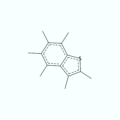 Cc1sc2c(C)c(C)c(C)c(C)c2c1C